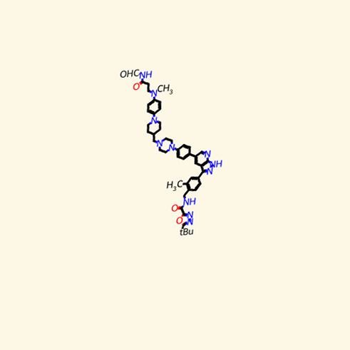 Cc1cc(-c2n[nH]c3ncc(-c4ccc(N5CCN(CC6CCN(c7ccc(N(C)CCC(=O)NC=O)cc7)CC6)CC5)cc4)cc23)ccc1CNC(=O)c1nnc(C(C)(C)C)o1